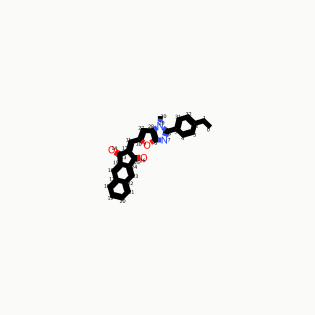 CCc1ccc(-c2nc3oc(C=C4C(=O)c5cc6ccccc6cc5C4=O)cc3n2C)cc1